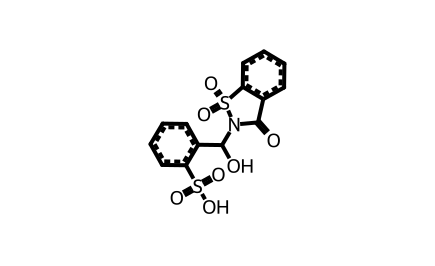 O=C1c2ccccc2S(=O)(=O)N1C(O)c1ccccc1S(=O)(=O)O